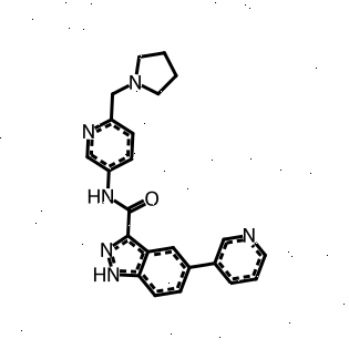 O=C(Nc1ccc(CN2CCCC2)nc1)c1n[nH]c2ccc(-c3cccnc3)cc12